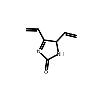 C=CC1=NC(=O)NC1C=C